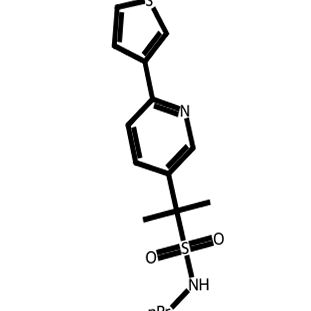 CCCNS(=O)(=O)C(C)(C)c1ccc(-c2ccsc2)nc1